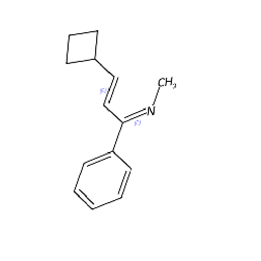 C/N=C(\C=C\C1CCC1)c1ccccc1